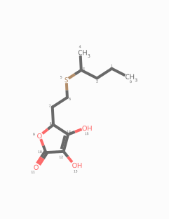 CCCC(C)SCCC1OC(=O)C(O)=C1O